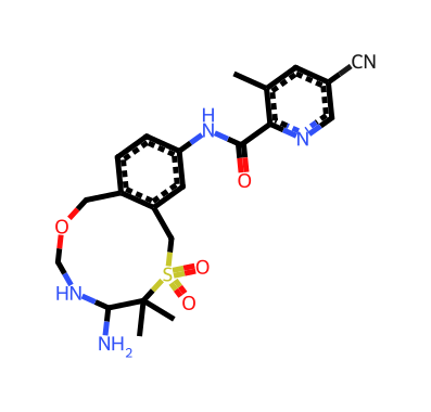 Cc1cc(C#N)cnc1C(=O)Nc1ccc2c(c1)CS(=O)(=O)C(C)(C)C(N)NCOC2